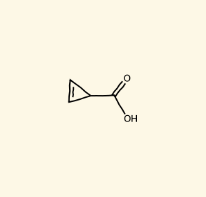 O=C(O)C1C=C1